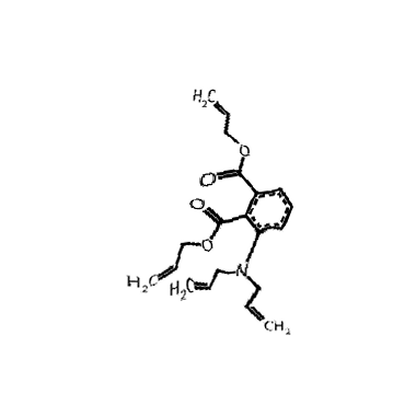 C=CCOC(=O)c1cccc(N(CC=C)CC=C)c1C(=O)OCC=C